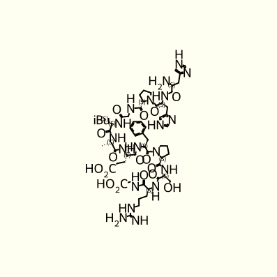 CC[C@H](C)[C@H](NC(=O)CNC(=O)[C@@H]1CCCN1C(=O)[C@H](Cc1c[nH]cn1)NC(=O)[C@@H](N)Cc1c[nH]cn1)C(=O)N[C@@H](C)C(=O)N[C@@H](CCC(=O)O)C(=O)N[C@@H](Cc1ccccc1)C(=O)N1CCC[C@H]1C(=O)N[C@@H](CO)C(=O)N[C@@H](CCCNC(=N)N)C(=O)NCC(=O)O